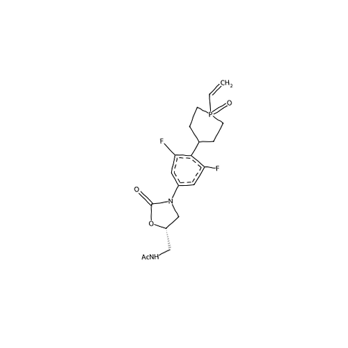 C=CP1(=O)CCC(c2c(F)cc(N3C[C@H](CNC(C)=O)OC3=O)cc2F)CC1